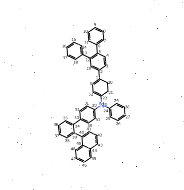 C1=C(c2ccc(-c3ccccc3)c(-c3ccccc3)c2)CCC(N(c2ccccc2)c2ccc(-c3ccccc3-c3cccc4ccccc34)cc2)=C1